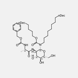 CCCCCCCCCCCCCCCCCCN(C(=O)OCCCCCCCCCCCCCC)[C@@H]1O[C@H](CO)[C@@H](O)[C@H](O)[C@H]1NC(=O)[C@H](C)NC(=O)OCc1ccccc1